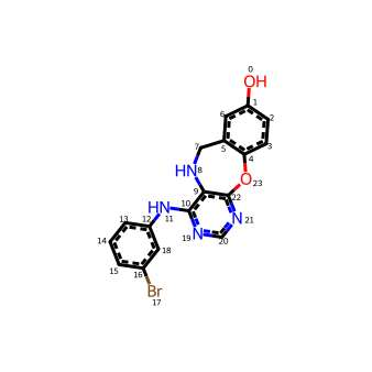 Oc1ccc2c(c1)CNc1c(Nc3cccc(Br)c3)ncnc1O2